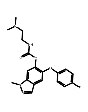 CN(C)CCNC(=O)Oc1cc2c(cnn2C)cc1Oc1ccc(F)cc1